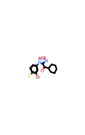 O=C(/C(=N/O)Nc1ccc(F)c(Br)c1)C1CCCCC1